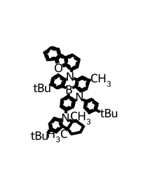 Cc1cc2c3c(c1)N(c1cccc4c1oc1ccccc14)c1ccc(C(C)(C)C)cc1B3c1ccc(N3c4ccc(C(C)(C)C)cc4C4(C)CCCCC34C)cc1N2c1ccc(C(C)(C)C)cc1